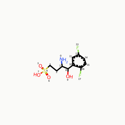 NC(CCS(=O)(=O)O)C(O)c1cc(F)ccc1F